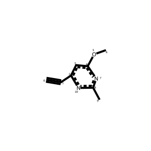 C#Cc1cc(OC)nc(C)n1